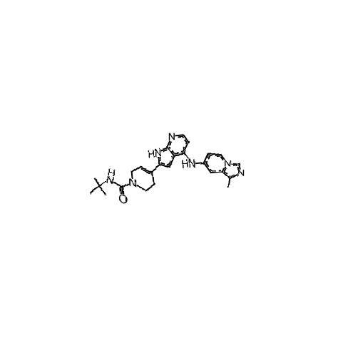 Cc1ncn2ccc(Nc3ccnc4[nH]c(C5=CCN(C(=O)NC(C)(C)C)CC5)cc34)cc12